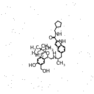 C[C@H](Cc1ccc2[nH]c(C(=O)NCC3CCCC3)cc2c1)NC[C@H](O[Si](C)(C)C(C)(C)C)c1ccc(O)c(CO)c1